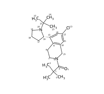 CC(C)(C)C(=O)N1CCc2c(cc(Cl)cc2[C@@H]2CCCN2C(C)(C)C)C1